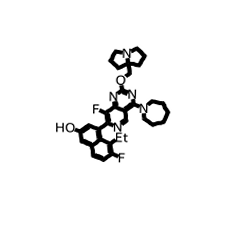 CCc1c(F)ccc2cc(O)cc(-c3ncc4c(N5CCCCCC5)nc(OCC56CCCN5CCC6)nc4c3F)c12